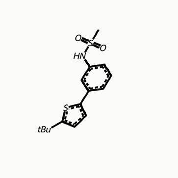 CC(C)(C)c1ccc(-c2cccc(NS(C)(=O)=O)c2)s1